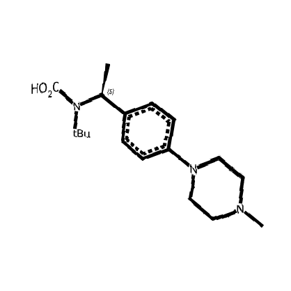 C[C@@H](c1ccc(N2CCN(C)CC2)cc1)N(C(=O)O)C(C)(C)C